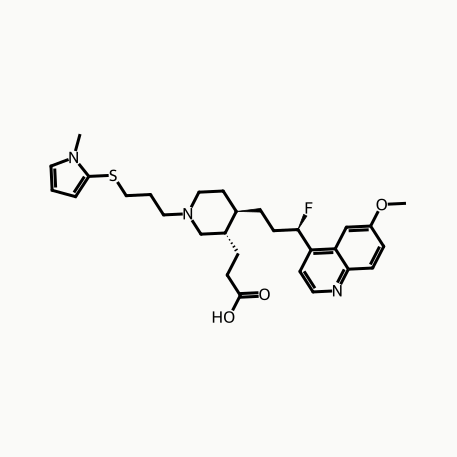 COc1ccc2nccc([C@H](F)CC[C@@H]3CCN(CCCSc4cccn4C)C[C@H]3CCC(=O)O)c2c1